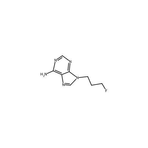 Nc1ncnc2c1ncn2CCCF